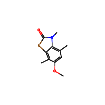 COc1cc(C)c2c(sc(=O)n2C)c1C